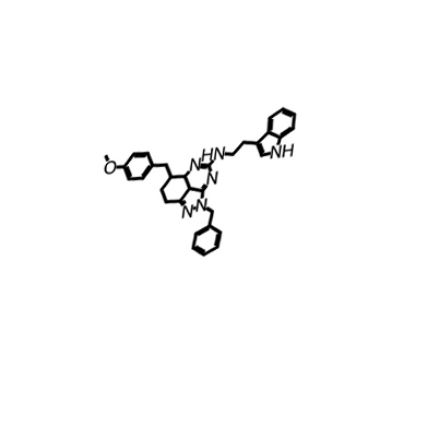 COc1ccc(CC2CCC3=NN(Cc4ccccc4)C4=NC(NCCc5c[nH]c6ccccc56)=NC2C34)cc1